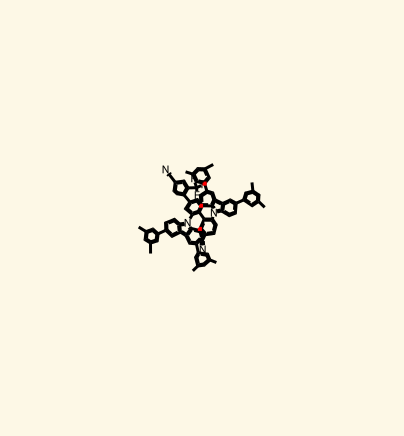 Cc1cc(C)cc(-c2ccc3c(c2)c2cc(-c4cc(C)cc(C)c4)ccc2n3-c2ccc(C#N)cc2-c2ccc(-c3ccc(C#N)cc3C(F)(F)F)cc2-n2c3ccc(-c4cc(C)cc(C)c4)cc3c3cc(-c4cc(C)cc(C)c4)ccc32)c1